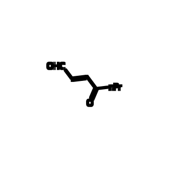 CCCC(=O)C=CC=O